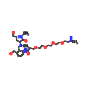 CNCCOCCOCCOCCOCCC(=O)Nc1cccc(C=O)c1CN(C)C(CCC=O)C(=O)NC